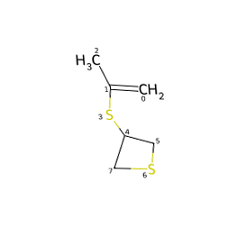 C=C(C)SC1CSC1